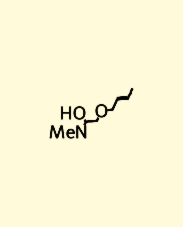 CC=CCOCC(O)NC